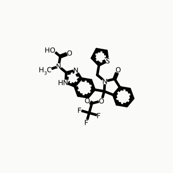 CN(C(=O)O)c1nc2cc(C3(OC(=O)C(F)(F)F)c4ccccc4C(=O)N3Cc3cccs3)ccc2[nH]1